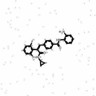 Nc1ccccc1NC(=O)c1ccc(/C=C(\C(=O)NC2CC2)c2c(F)cccc2F)cc1